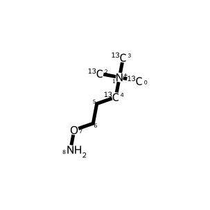 [13CH3][N+]([13CH3])([13CH3])[13CH2]CCON